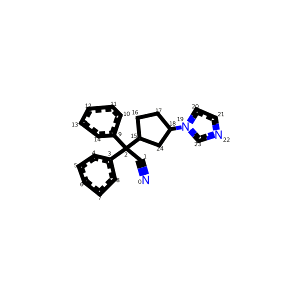 N#CC(c1ccccc1)(c1ccccc1)C1CCC(n2ccnc2)C1